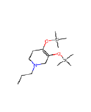 CCCN1CCC(O[Si](C)(C)C)=C(O[Si](C)(C)C)C1